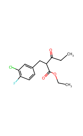 CCOC(=O)C(Cc1ccc(F)c(Cl)c1)C(=O)CC